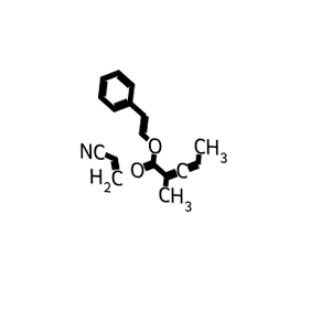 C=CC#N.CC=C=C(C)C(=O)OC=Cc1ccccc1